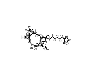 COCOc1cc(OCCCCCCC2=NC=CC2)cc2c1C(=O)O[C@@H](C)[C@H](C)/C=C\C(O)[C@H]1OC(C)(C)O[C@H]1C/C=C/2